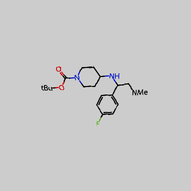 CNCC(NC1CCN(C(=O)OC(C)(C)C)CC1)c1ccc(F)cc1